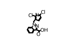 O=C(O)c1nn(Cc2ccc(Cl)nc2Cl)c2ccccc12